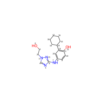 OCCn1cnc(Nc2ccc(O)c(C3CCCCC3)c2)n1